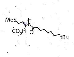 CSC/C=C(/NC(=O)CCCCCCCC(C)(C)C)C(=O)O